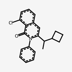 CC(c1cc2cccc(Cl)c2c(=O)n1-c1ccccc1)C1CCC1